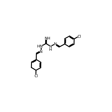 N=C(N/N=C/C1=CCC(Cl)C=C1)N/N=C/c1ccc(Cl)cc1